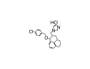 Cl.Clc1ccc(COC2c3cccc4c3C(CCC4)CC2Cn2ccnc2)cc1